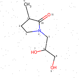 CC1CCN(CC(O)CO)C1=O